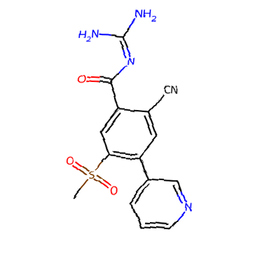 CS(=O)(=O)c1cc(C(=O)N=C(N)N)c(C#N)cc1-c1cccnc1